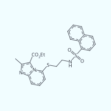 CCOC(=O)c1c(C)nc2cccc(SCCNS(=O)(=O)c3cccc4ccccc34)n12